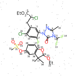 CCOC(=O)C(Cl)Cc1cc(-n2nc(C)n(C(F)F)c2=O)c(F)cc1Cl.CCOC1Oc2ccc(OS(C)(=O)=O)cc2C1(C)C